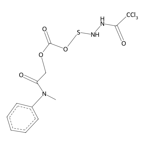 CN(C(=O)COC(=O)OSNNC(=O)C(Cl)(Cl)Cl)c1ccccc1